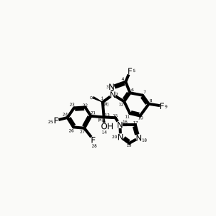 C[C@@H](n1nc(F)c2cc(F)ccc21)[C@](O)(Cn1cncn1)c1ccc(F)cc1F